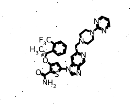 C[C@@H](Oc1cc(-n2cnc3cnc(CN4CCN(c5ncccn5)CC4)cc32)sc1C(N)=O)c1ccccc1C(F)(F)F